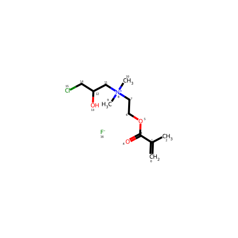 C=C(C)C(=O)OCC[N+](C)(C)CC(O)CCl.[F-]